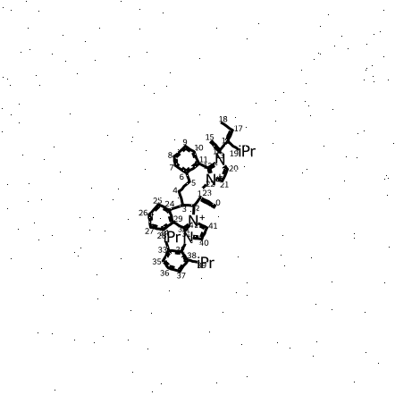 C=CC1C(CCc2ccccc2-c2n(C(=C)/C(=C\C)C(C)C)cc[n+]2C)c2ccccc2-c2n(-c3c(C(C)C)cccc3C(C)C)cc[n+]21